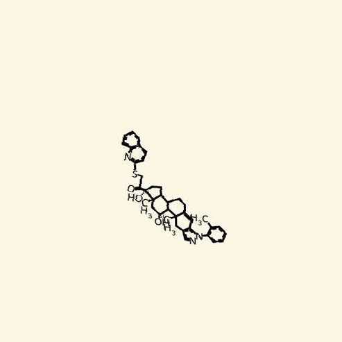 Cc1ccccc1-n1ncc2c1C=C1CCC3C([C@@H](O)CC4(C)C3CC[C@]4(O)C(=O)CSc3ccc4ccccc4n3)C1(C)C2